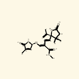 C=C(C)[C@@]1(/C=C/C(=C\O[C@H]2C=C(C)C(=O)O2)C(=O)OC)OC(=O)CC1(C)C